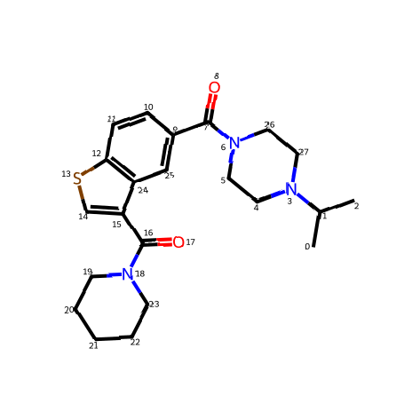 CC(C)N1CCN(C(=O)c2ccc3scc(C(=O)N4CCCCC4)c3c2)CC1